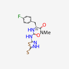 CNC(=O)[C@H](Cc1ccc(F)cc1)NC(=O)Nc1n[nH]c(=S)s1